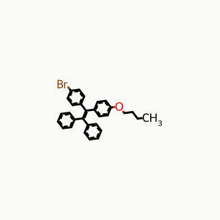 CCCCOc1ccc(C(=C(c2ccccc2)c2ccccc2)c2ccc(Br)cc2)cc1